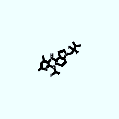 Cc1cc(C)c(Nc2nccc3c2ccn3CC(F)(F)C(C)C)c(OC(F)F)n1